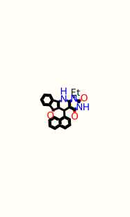 CCn1c2c(c(=O)[nH]c1=O)C(c1cccc3ccccc13)C1=C(N2)c2ccccc2C1=O